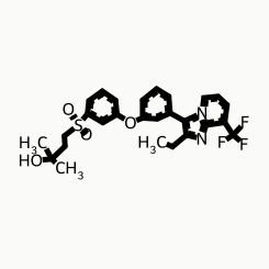 CCc1nc2c(C(F)(F)F)cccn2c1-c1cccc(Oc2cccc(S(=O)(=O)CCC(C)(C)O)c2)c1